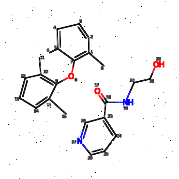 Cc1cccc(C)c1Oc1c(C)cccc1C.O=C(NCCO)c1cccnc1